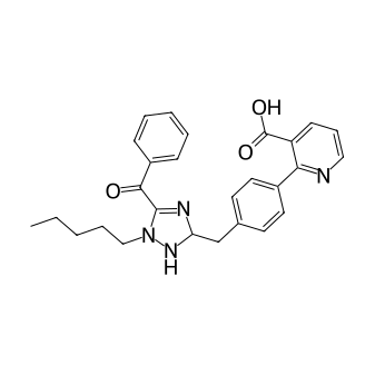 CCCCCN1NC(Cc2ccc(-c3ncccc3C(=O)O)cc2)N=C1C(=O)c1ccccc1